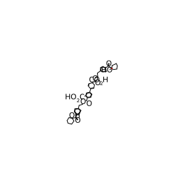 O=C(O)c1cc(C2=CCC(C(=O)O)(C(=O)OCCc3ccc(C(=O)C4(O)CCCCC4)cc3)C=C2)ccc1C(=O)OCCc1ccc(C(=O)C2(O)CCCCC2)cc1